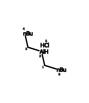 CCCC[CH2][AlH][CH2]CCCC.Cl